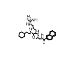 CC(CNC(=O)c1ccc2ccccc2c1)N[C@@H](CCCNC(=N)N)C(=O)NCCC1CCCCC1